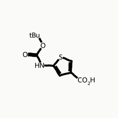 CC(C)(C)OC(=O)Nc1cc(C(=O)O)cs1